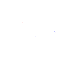 OCc1ccc(-c2cnco2)nc1